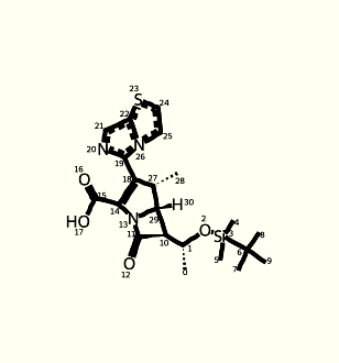 C[C@@H](O[Si](C)(C)C(C)(C)C)[C@H]1C(=O)N2C(C(=O)O)=C(c3ncc4sccn34)[C@H](C)[C@H]12